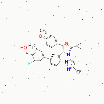 Cc1cc(-c2ccc(-n3ccc(C(F)(F)F)n3)c(-c3nc(C4CC4)oc3-c3ccc(OC(F)(F)F)cc3)c2)cc(F)c1CO